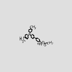 C=CC(=O)OC(CCC)c1ccc(-c2ccc(N(c3ccc(C)cc3)c3ccc(C)cc3)cc2)cc1